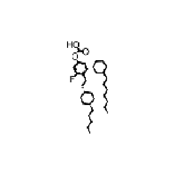 CCCCCCCC1CCCCC1.CCCCC[C@H]1CC[C@H](CCc2ccc(OC(=O)O)cc2F)CC1